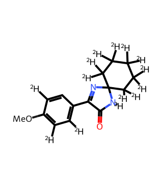 [2H]c1cc(C2=NC3(N([2H])C2=O)C([2H])([2H])C([2H])([2H])C([2H])([2H])C([2H])([2H])C3([2H])[2H])c([2H])c([2H])c1OC